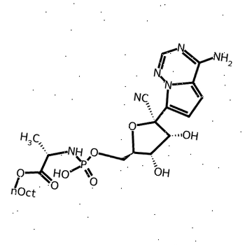 CCCCCCCCOC(=O)[C@H](C)NP(=O)(O)OC[C@H]1O[C@@](C#N)(c2ccc3c(N)ncnn23)[C@H](O)[C@@H]1O